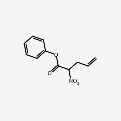 C=CCC(C(=O)Oc1ccccc1)[N+](=O)[O-]